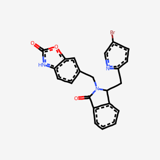 O=C1c2ccccc2C(Cc2ccc(Br)cn2)N1Cc1ccc2[nH]c(=O)oc2c1